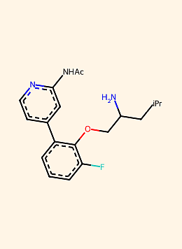 CC(=O)Nc1cc(-c2cccc(F)c2OCC(N)CC(C)C)ccn1